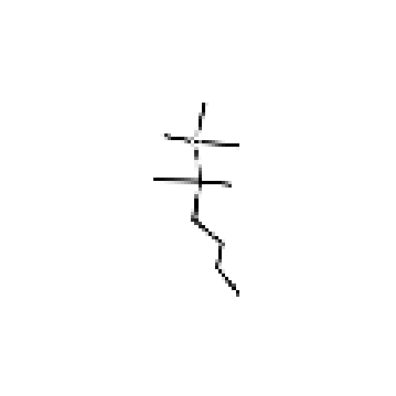 CCCCC(C)(C)S(C)(C)C